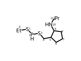 CCSPSCC1CCCC1NC(C)C